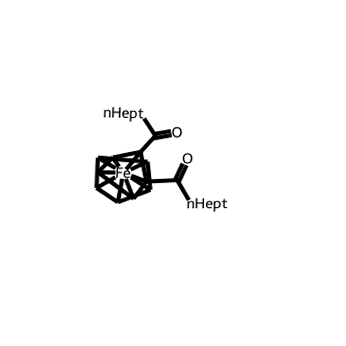 CCCCCCCC(=O)[C]12[CH]3[CH]4[CH]5[C]1(C(=O)CCCCCCC)[Fe]43521678[CH]2[CH]1[CH]6[CH]7[CH]28